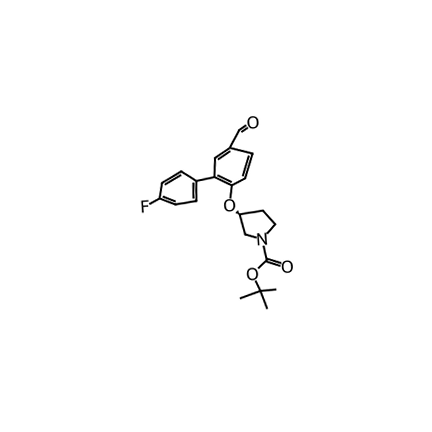 CC(C)(C)OC(=O)N1CC[C@H](Oc2ccc(C=O)cc2-c2ccc(F)cc2)C1